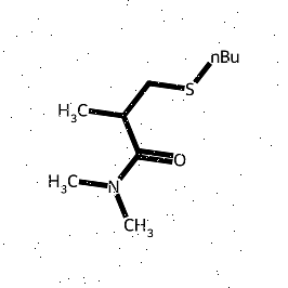 CCCCSCC(C)C(=O)N(C)C